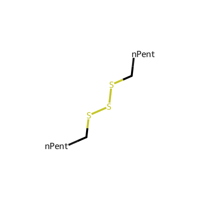 CCCCCCSSSCCCCCC